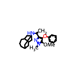 C=C(NC12CC3CCCC(C1)C(C3)C2)c1nn(C)c(OC)c1Oc1ccccc1